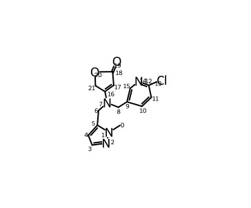 Cn1nccc1CN(Cc1ccc(Cl)nc1)C1=CC(=O)OC1